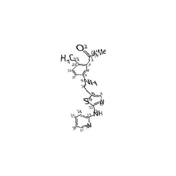 CNC(=O)c1cc(NCc2cnc(Nc3ccccn3)s2)ccc1C